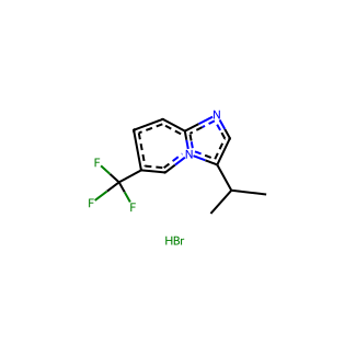 Br.CC(C)c1cnc2ccc(C(F)(F)F)cn12